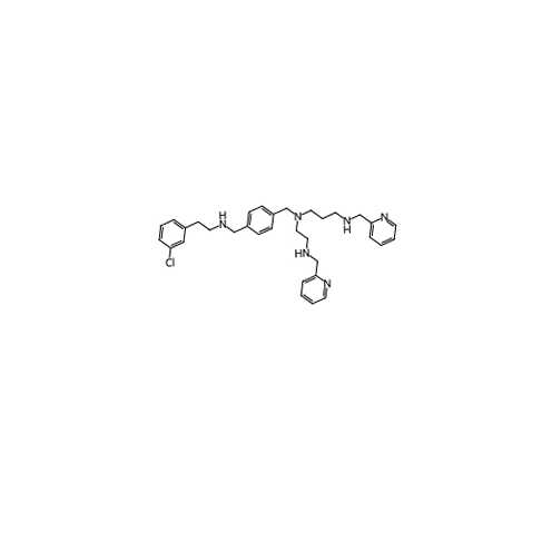 Clc1cccc(CCNCc2ccc(CN(CCCNCc3ccccn3)CCNCc3ccccn3)cc2)c1